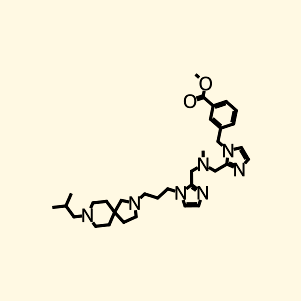 COC(=O)c1cccc(Cn2ccnc2CN(C)Cc2nccn2CCCN2CCC3(CCN(CC(C)C)CC3)C2)c1